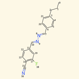 CCCc1ccc(C=NN=Cc2ccc(C#N)c(F)c2)cc1